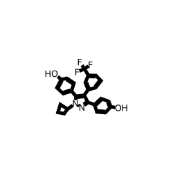 Oc1ccc(-c2nn(C3CCC3)c(-c3ccc(O)cc3)c2-c2cccc(C(F)(F)F)c2)cc1